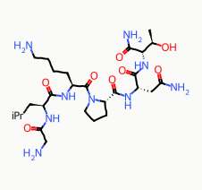 CC(C)C[C@H](NC(=O)CN)C(=O)N[C@@H](CCCCN)C(=O)N1CCC[C@H]1C(=O)N[C@@H](CC(N)=O)C(=O)N[C@H](C(N)=O)[C@@H](C)O